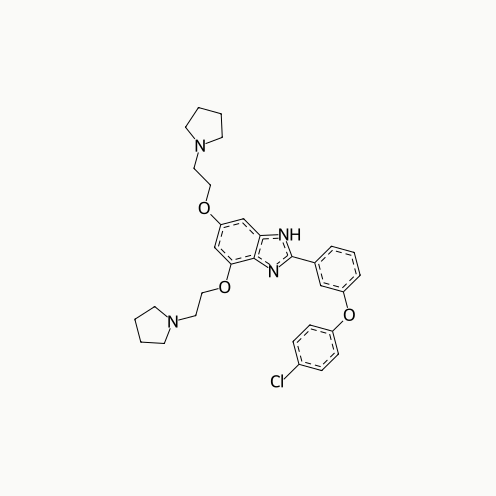 Clc1ccc(Oc2cccc(-c3nc4c(OCCN5CCCC5)cc(OCCN5CCCC5)cc4[nH]3)c2)cc1